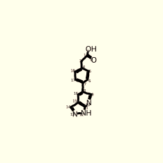 O=C(O)Cc1ccc(-c2cnc3[nH]ncc3c2)cc1